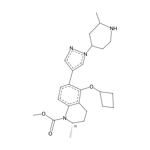 COC(=O)N1c2ccc(-c3cnn(C4CCNC(C)C4)c3)c(OC3CCC3)c2CC[C@@H]1C